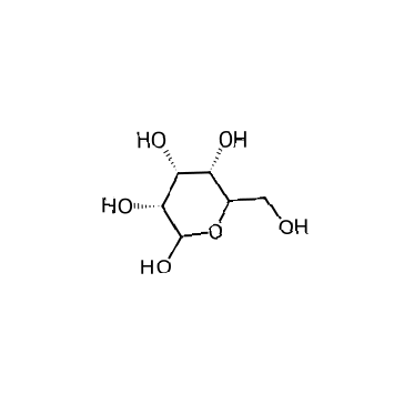 OCC1OC(O)[C@H](O)[C@H](O)[C@@H]1O